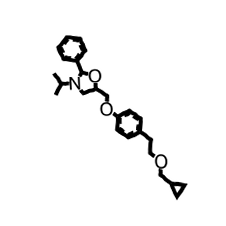 CC(C)N1CC(COc2ccc(CCOCC3CC3)cc2)OC1c1ccccc1